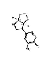 Cc1cc(C2CN[C@H]3CNC[C@@H]23)cnc1Cl